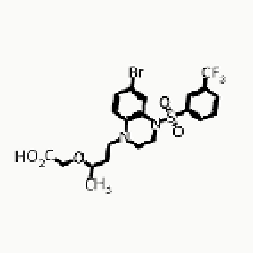 CC(CCN1CCN(S(=O)(=O)c2cccc(C(F)(F)F)c2)c2cc(Br)ccc21)OCC(=O)O